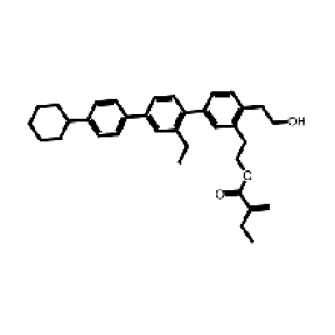 C=C(CC)C(=O)OCCc1cc(-c2ccc(-c3ccc(C4CCCCC4)cc3)cc2CC)ccc1CCO